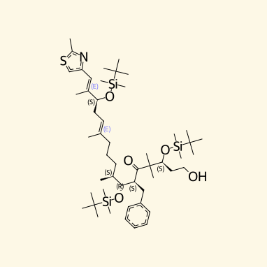 C/C(=C\C[C@H](O[Si](C)(C)C(C)(C)C)/C(C)=C/c1csc(C)n1)CCC[C@H](C)[C@@H](O[Si](C)(C)C(C)(C)C)[C@H](Cc1ccccc1)C(=O)C(C)(C)[C@H](CCO)O[Si](C)(C)C(C)(C)C